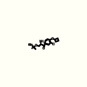 CC(C)(C)[Si](C)(C)OC[C@@H](N)C(=O)c1ccc(OC2CCC2)c(Cl)c1